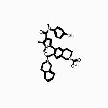 Cc1c(C(=O)N(C)c2ccc(O)cc2)cc(-c2cc3c(cc2C(=O)N2CCc4ccccc4C2)CN(C(=O)O)CC3)n1C